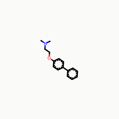 CN(C)CCOc1ccc(-c2ccccc2)cc1